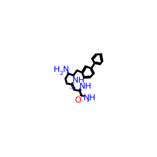 CNC(=O)C(=N)/C=C1/CCC(N)C(Cc2cccc(-c3ccccc3)c2)N1